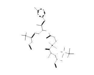 C=CC/C(=C\CC(OC(=O)C[C@H](C)C(C)(C)C(=O)C(C)[C@@H](O[Si](C)(C)C(C)(C)C)[C@@H](C)C=C)/C(C)=C/c1csc(C)n1)C(F)(F)F